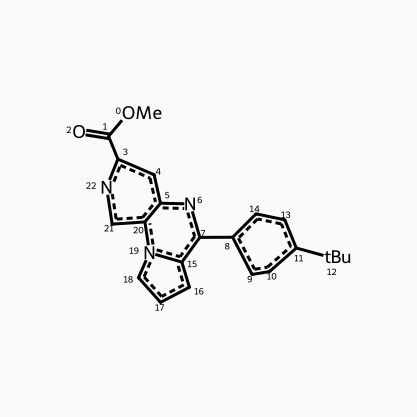 COC(=O)c1cc2nc(-c3ccc(C(C)(C)C)cc3)c3cccn3c2cn1